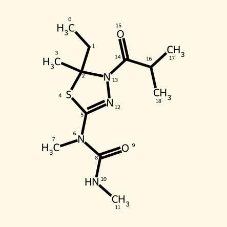 CCC1(C)SC(N(C)C(=O)NC)=NN1C(=O)C(C)C